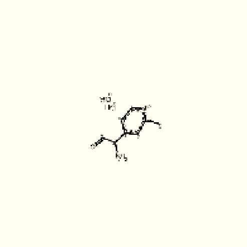 Cc1cc(C(N)C=O)ccn1.Cl.Cl